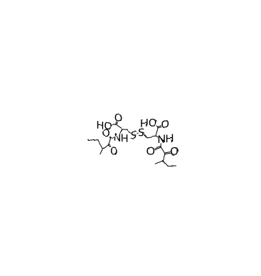 CCC(C)C(=O)C(=O)NC(CSSCC(NC(=O)C(=O)C(C)CC)C(=O)O)C(=O)O